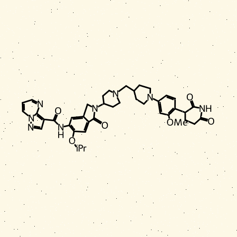 COc1cc(N2CCC(CN3CCC(N4Cc5cc(NC(=O)c6cnn7cccnc67)c(OC(C)C)cc5C4=O)CC3)CC2)ccc1C1CCC(=O)NC1=O